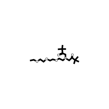 CCOCCOCCOCCN(CC(=O)C(C)(C)C)CC(=O)C(C)(C)C